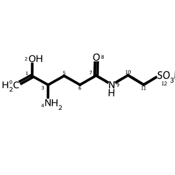 C=C(O)C(N)CCC(=O)NCCS(=O)(=O)O